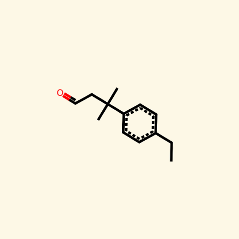 CCc1ccc(C(C)(C)CC=O)cc1